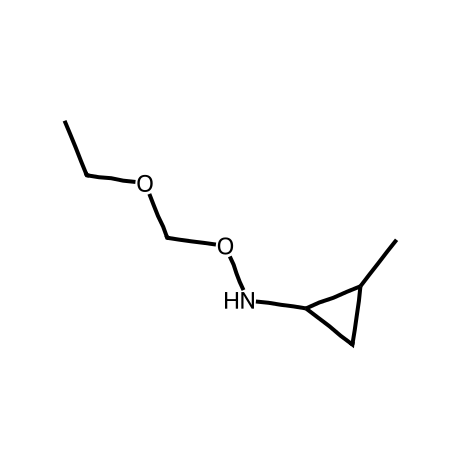 CCOCONC1CC1C